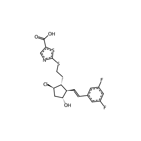 O=C(O)c1cnc(SCC[C@@H]2[C@@H](/C=C/c3cc(F)cc(F)c3)[C@H](O)C[C@H]2Cl)s1